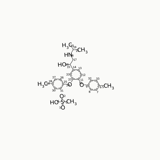 CS(=O)(=O)O.Cc1ccc(Oc2ccc(C(O)CNC(C)C)cc2Oc2ccc(C)cc2)cc1